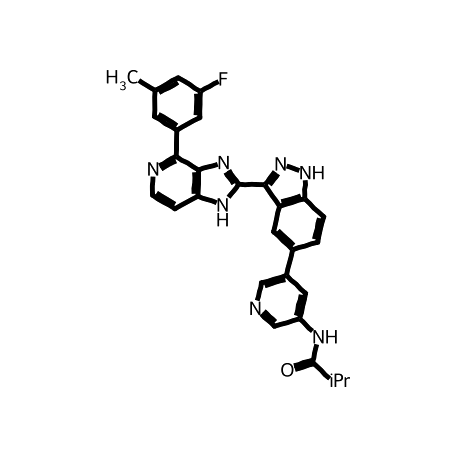 Cc1cc(F)cc(-c2nccc3[nH]c(-c4n[nH]c5ccc(-c6cncc(NC(=O)C(C)C)c6)cc45)nc23)c1